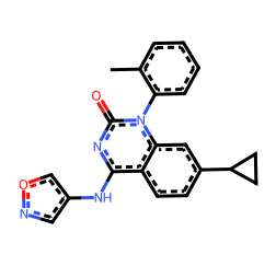 Cc1ccccc1-n1c(=O)nc(Nc2cnoc2)c2ccc(C3CC3)cc21